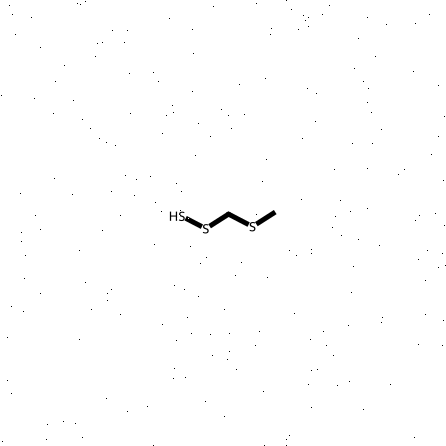 CSCSS